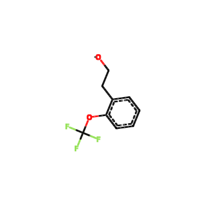 [O]CCc1ccccc1OC(F)(F)F